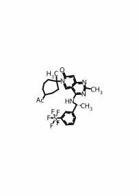 CC(=O)C1CCCC(C)(n2cc3c(N[C@H](C)c4cccc(S(F)(F)(F)(F)F)c4)nc(C)nc3cc2=O)CC1